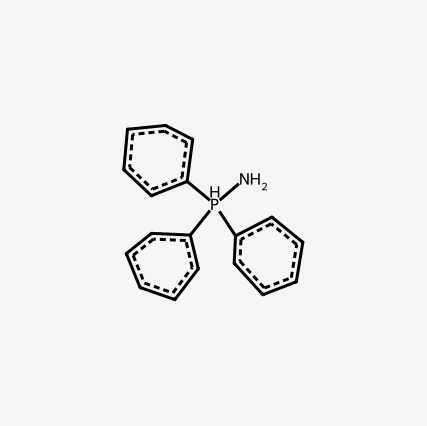 N[PH](c1ccccc1)(c1ccccc1)c1ccccc1